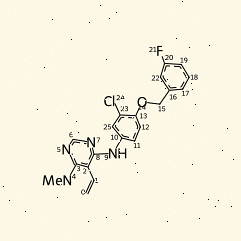 C=Cc1c(NC)ncnc1Nc1ccc(OCc2cccc(F)c2)c(Cl)c1